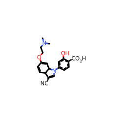 CN(C)CCOC1=CC2C(C=C1)C(C#N)=CN2c1ccc(C(=O)O)c(O)c1